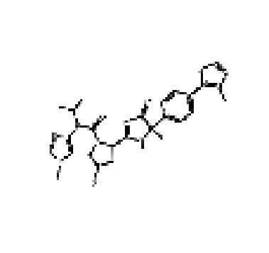 Cc1ncsc1-c1ccc(C2(C)NC(C3CC(O)CN3C(=O)C(c3cn(C)nn3)C(C)C)=NC2=O)cc1